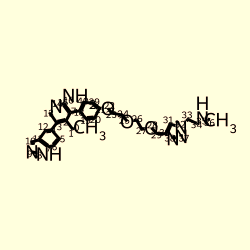 CCc1c(-c2ccc3[nH]ncc3c2)cnc(N)c1-c1ccc(OCCOCCOCc2cn(CCNC)nn2)cc1